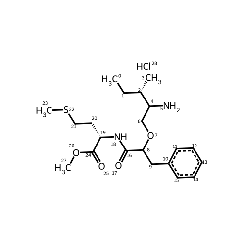 CC[C@H](C)C(N)COC(Cc1ccccc1)C(=O)N[C@@H](CCSC)C(=O)OC.Cl